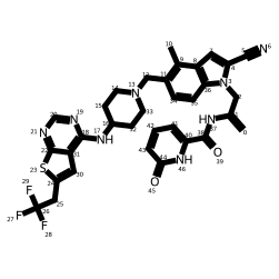 C=C(Cn1c(C#N)cc2c(C)c(CN3CCC(Nc4ncnc5sc(CC(F)(F)F)cc45)CC3)ccc21)NC(=O)c1cccc(=O)[nH]1